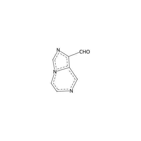 O=Cc1ncn2ccncc12